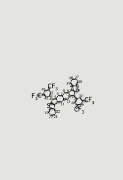 FC(F)(F)c1cc(C2=c3cc4cc5c(cc4cc3-c3c2sc2ccccc32)=C(c2cc(C(F)(F)F)cc(C(F)(F)F)c2)c2sc3ccccc3c2-5)cc(C(F)(F)F)c1